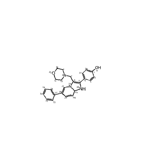 Oc1ccc(C2=C(CN3CCOCC3)N3C=C(c4ccccc4)C=CC3N2)cc1